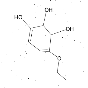 CCOC1=CC=C(O)C(O)C1O